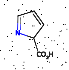 O=C(O)C1C=CC=N1